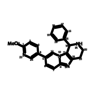 COc1ccc(-c2ccc3nc4c(n3c2)C(c2ccccc2)NCC4)cn1